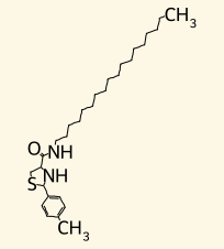 CCCCCCCCCCCCCCCCCCNC(=O)C1CSC(c2ccc(C)cc2)N1